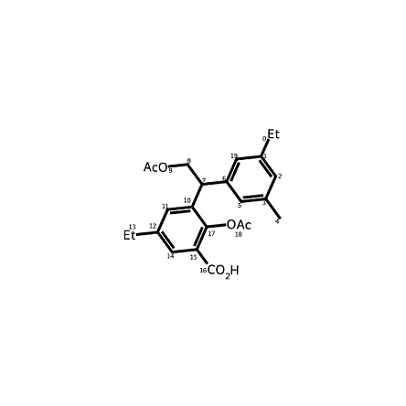 CCc1cc(C)cc(C(COC(C)=O)c2cc(CC)cc(C(=O)O)c2OC(C)=O)c1